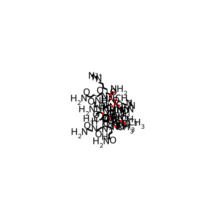 CC[C@H](C)[C@H](NC(=O)[C@H](CCCCN)NC(=O)[C@H](Cc1nnn[nH]1)NC(=O)[C@H](CC(C)C)NC(=O)C(C)(C)N)C(=O)N[C@@H](N)C(=O)N[C@@H](CCC(N)=O)C(=O)N[C@@H](CCCCN=[N+]=[N-])C(=O)N[C@@H](C)C(=O)N[C@@](C)(Cc1ccccc1F)C(=O)N[C@H](C(=O)N[C@@H](CCC(N)=O)C(=O)NCC(=O)NCC(N)=O)C(C)C